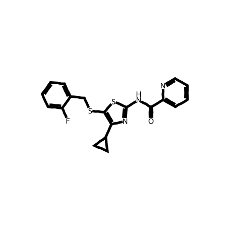 O=C(Nc1nc(C2CC2)c(SCc2ccccc2F)s1)c1ccccn1